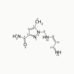 Cc1cc(C(N)=O)nn1CN/C=C\C=N